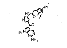 CC(C)n1cc(CC(=O)Nc2cncc(C(=O)c3cn(C(C)C)c4nc(N)ncc34)c2)c(C(F)(F)F)n1